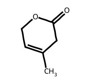 CC1=CCOC(=O)C1